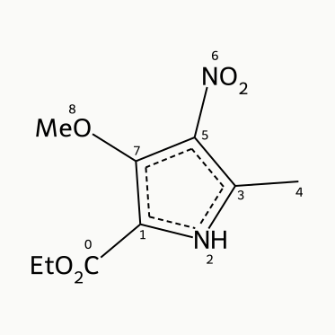 CCOC(=O)c1[nH]c(C)c([N+](=O)[O-])c1OC